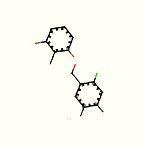 COc1cc(COc2cccc(Br)c2C)c(Cl)cc1C=O